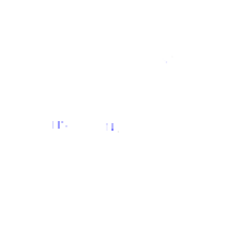 Cc1nc(CC[N])c[nH]1